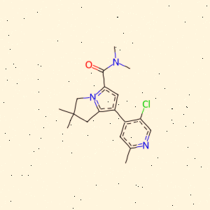 Cc1cc(-c2cc(C(=O)N(C)C)n3c2CC(C)(C)C3)c(Cl)cn1